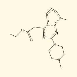 CCOC(=O)Cc1nc(N2CCN(C)CC2)nc2c(C)cccc12